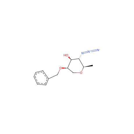 C[C@H]1O[CH][C@@H](OCc2ccccc2)[C@@H](O)[C@@H]1N=[N+]=[N-]